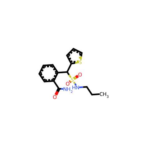 CCCNS(=O)(=O)C(c1cccs1)c1ccccc1C(N)=O